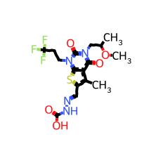 COC(C)Cn1c(=O)c2c(C)c(C=NNC(=O)O)sc2n(CCC(F)(F)F)c1=O